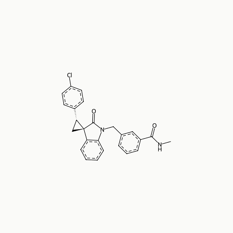 CNC(=O)c1cccc(CN2C(=O)[C@]3(C[C@@H]3c3ccc(Cl)cc3)c3ccccc32)c1